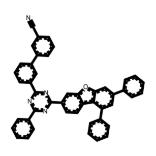 N#Cc1cccc(-c2cccc(-c3nc(-c4ccccc4)nc(-c4ccc5c(c4)oc4cc(-c6ccccc6)cc(-c6ccccc6)c45)n3)c2)c1